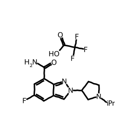 CC(C)N1CCC(n2cc3cc(F)cc(C(N)=O)c3n2)C1.O=C(O)C(F)(F)F